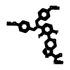 CNC(=O)c1ncn2c1COC(c1c(F)ccc(N(Cc3ccc(OC)cc3)Cc3ccc(OC)cc3)c1F)C2